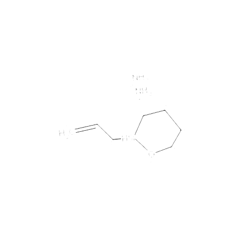 C=CC[SiH]1CCCCO1.N.N